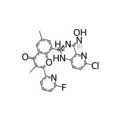 Cc1cc([C@@H](C)Nc2ccc(Cl)nc2/C(N)=N/O)c2oc(-c3cccc(F)n3)c(C)c(=O)c2c1